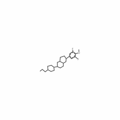 CCCC1CCC(C2CCC3CC(c4cc(F)c(OC)c(F)c4)CCC3C2)CC1